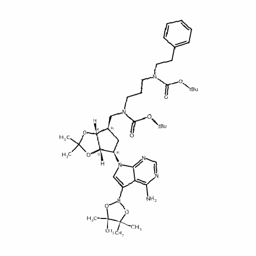 CC(C)(C)OC(=O)N(CCCN(C[C@H]1C[C@@H](n2cc(B3OC(C)(C)C(C)(C)O3)c3c(N)ncnc32)[C@@H]2OC(C)(C)O[C@H]12)C(=O)OC(C)(C)C)CCc1ccccc1